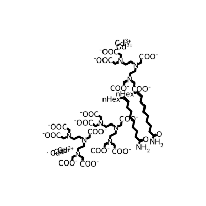 CCCCCC/C=C\CCCCCCCC(N)=O.CCCCCC/C=C\CCCCCCCC(N)=O.O=C([O-])CN(CCN(CC(=O)[O-])CC(=O)[O-])CCN(CC(=O)[O-])CC(=O)[O-].O=C([O-])CN(CCN(CC(=O)[O-])CC(=O)[O-])CCN(CC(=O)[O-])CC(=O)[O-].O=C([O-])CN(CCN(CC(=O)[O-])CC(=O)[O-])CCN(CC(=O)[O-])CC(=O)[O-].[Gd+3].[Gd+3].[Gd+3].[Gd+3].[Gd+3]